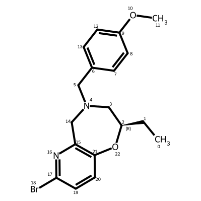 CC[C@@H]1CN(Cc2ccc(OC)cc2)Cc2nc(Br)ccc2O1